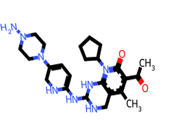 CC(=O)c1c(C)c2c(n(C3CCCC3)c1=O)NC(NC1=CC=C(N3CCN(N)CC3)CN1)NC2